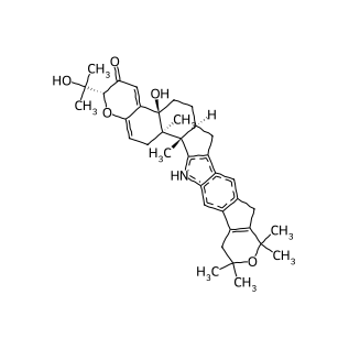 CC1(C)CC2=C(Cc3cc4c5c([nH]c4cc32)[C@@]2(C)[C@@H](CC[C@@]3(O)C4=CC(=O)[C@@H](C(C)(C)O)OC4=CC[C@@]32C)C5)C(C)(C)O1